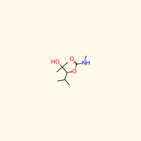 CNC(=O)O[C@@H](C(C)C)C(C)(C)O